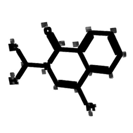 CCC(CC)n1cc(C(C)C)c2ccccc2c1=O